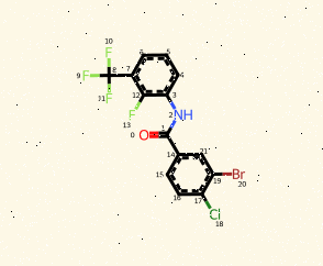 O=C(Nc1cccc(C(F)(F)F)c1F)c1ccc(Cl)c(Br)c1